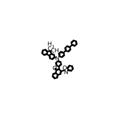 CC1(C)c2ccccc2-c2ccc(N(c3ccc(-c4ccc(-c5ccccc5)cc4)cc3)c3ccc4c(c3)oc3c5ccccc5cc(-c5nc6ccccc6o5)c43)cc21